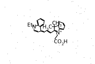 CCN1C=C/C(=C/C=C/C2=[N+](CCC(=O)O)c3ccccc3C2(C)C)c2ccccc21